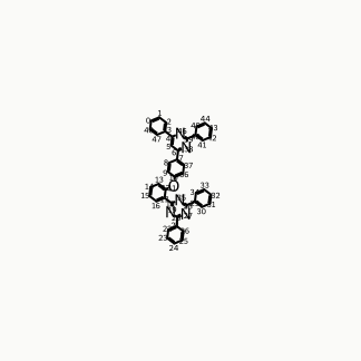 c1ccc(-c2cc(-c3ccc(Oc4ccccc4-c4nc(-c5ccccc5)nc(-c5ccccc5)n4)cc3)nc(-c3ccccc3)n2)cc1